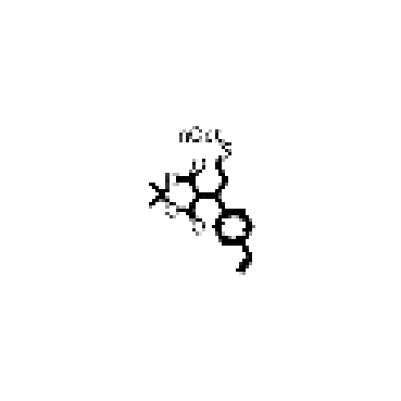 C=Cc1ccc(C(CCSCCCCCCCC)C2C(=O)OC(C)(C)OC2=O)cc1